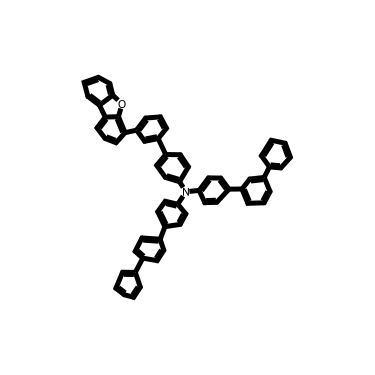 c1ccc(-c2ccc(-c3ccc(N(c4ccc(-c5cccc(-c6ccccc6)c5)cc4)c4ccc(-c5cccc(-c6cccc7c6oc6ccccc67)c5)cc4)cc3)cc2)cc1